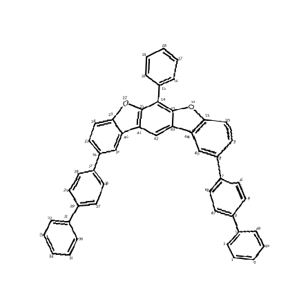 c1ccc(-c2ccc(-c3ccc4oc5c(-c6ccccc6)c6oc7ccc(-c8ccc(-c9ccccc9)cc8)cc7c6cc5c4c3)cc2)cc1